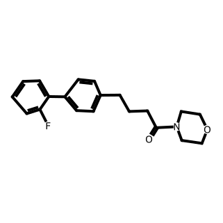 O=C(CCCc1ccc(-c2ccccc2F)cc1)N1CCOCC1